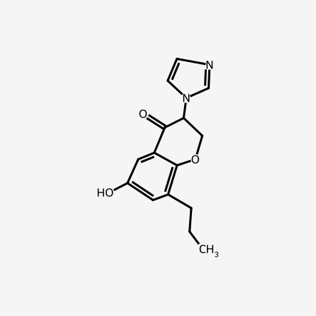 CCCc1cc(O)cc2c1OCC(n1ccnc1)C2=O